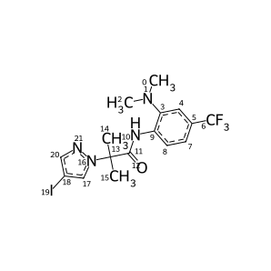 CN(C)c1cc(C(F)(F)F)ccc1NC(=O)C(C)(C)n1cc(I)cn1